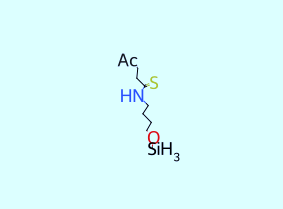 CC(=O)CCC(=S)NCCCCO[SiH3]